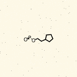 O=POCCC1CCCC1